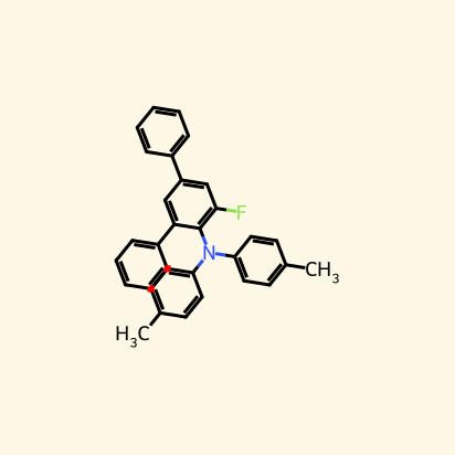 Cc1ccc(N(c2ccc(C)cc2)c2c(F)cc(-c3ccccc3)cc2-c2ccccc2)cc1